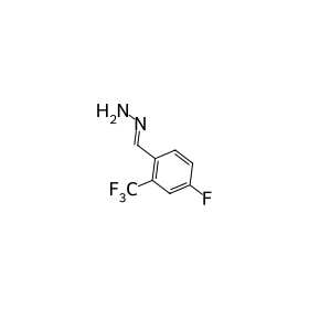 N/N=C/c1ccc(F)cc1C(F)(F)F